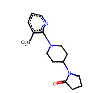 O=C1CCCN1C1CCN(c2ncccc2[N+](=O)[O-])CC1